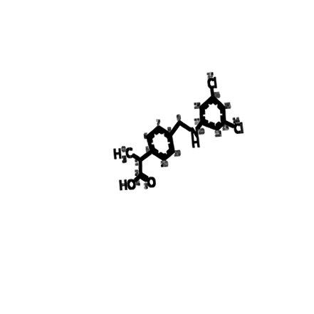 CC(C(=O)O)c1ccc(CNc2cc(Cl)cc(Cl)c2)cc1